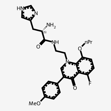 CCCOc1ccc(F)c2c(=O)c(-c3ccc(OC)cc3)cn(CCNC(=O)[C@@H](N)Cc3c[nH]cn3)c12